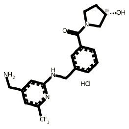 Cl.NCc1cc(NCc2cccc(C(=O)N3CC[C@H](O)C3)c2)nc(C(F)(F)F)c1